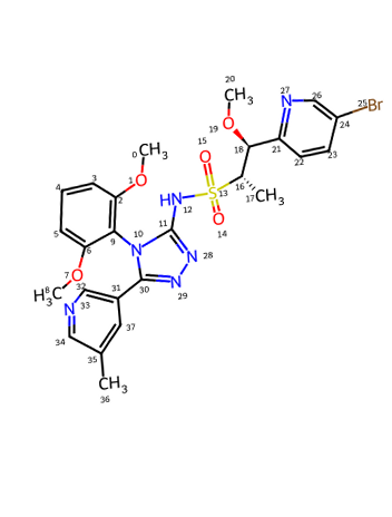 COc1cccc(OC)c1-n1c(NS(=O)(=O)[C@@H](C)[C@@H](OC)c2ccc(Br)cn2)nnc1-c1cncc(C)c1